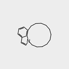 c1cc2c3c(c1)ccn3CCCCCCCCCCC2